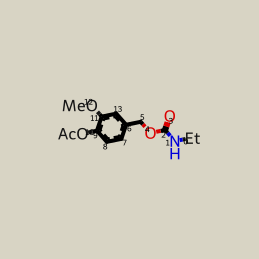 CCNC(=O)OCc1ccc(OC(C)=O)c(OC)c1